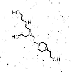 OCCNCCN(CCO)CCN1CCN(CCO)CC1